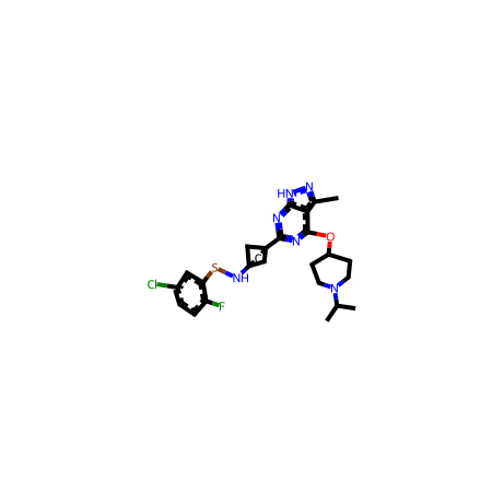 Cc1n[nH]c2nc(C34CC(NSc5cc(Cl)ccc5F)(C3)C4)nc(OC3CCN(C(C)C)CC3)c12